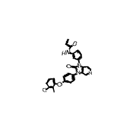 C=CC(=O)Nc1cccc(-n2c(=O)n(-c3ccc(Oc4cccc(Cl)c4C)cc3)c3cnccc32)c1